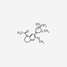 COc1cc2c(cc1N1C[C@@H](C)N(C)[C@@H](C)C1)N(C(C)=O)CCC2